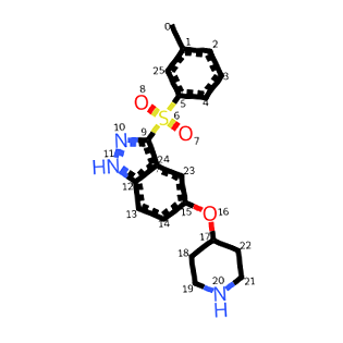 Cc1cccc(S(=O)(=O)c2n[nH]c3ccc(OC4CCNCC4)cc23)c1